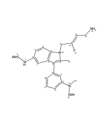 CSNc1ccc2c(c1)c(-c1cccc(N(C)SC)c1)c(C)n2C/C(F)=C/CN